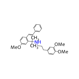 COc1ccc(/C=C/c2ccccc2)c(C(C)(C)NCCCc2ccc(OC)c(OC)c2)c1